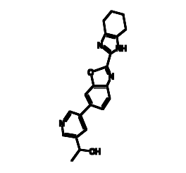 CC(O)c1cncc(-c2ccc3nc(-c4nc5c([nH]4)CCCC5)oc3c2)c1